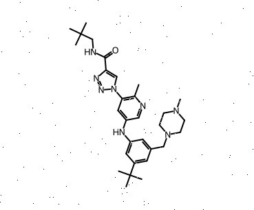 Cc1ncc(Nc2cc(CN3CCN(C)CC3)cc(C(C)(C)C)c2)cc1-n1cc(C(=O)NCC(C)(C)C)nn1